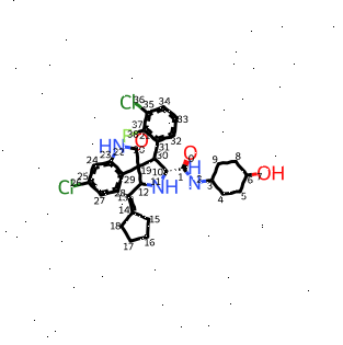 O=C(NC1CCC(O)CC1)[C@@H]1NC(C=C2CCCC2)C2(C(=O)Nc3cc(Cl)ccc32)C1c1cccc(Cl)c1F